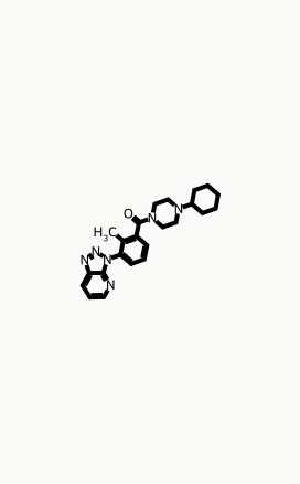 Cc1c(C(=O)N2CCN(C3CCCCC3)CC2)cccc1-n1nnc2cccnc21